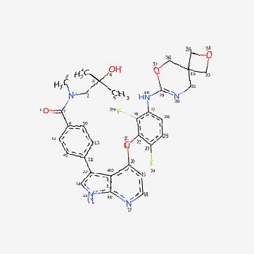 CN(CC(C)(C)O)C(=O)c1ccc(-c2c[nH]c3nccc(Oc4c(F)ccc(NC5=NCC6(COC6)CO5)c4F)c23)cc1